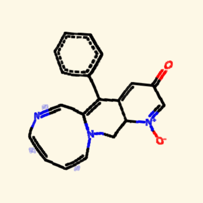 O=C1C=C2C(c3ccccc3)=C3\C=N/C=C\C=C/N3CC2[N+]([O-])=C1